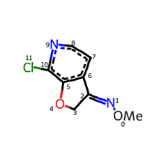 CON=C1COc2c1ccnc2Cl